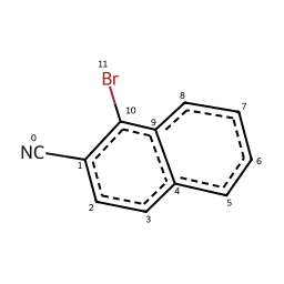 N#Cc1ccc2ccccc2c1Br